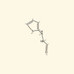 O=[C]NNc1cccs1